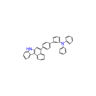 c1ccc(N(c2ccccc2)c2cccc(-c3ccc(-c4cc5[nH]c6ccccc6c5c5ccccc45)cc3)c2)cc1